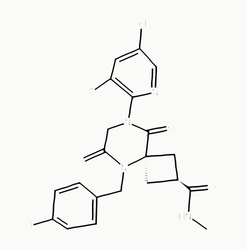 CNC(=O)[C@H]1C[C@@]2(C1)C(=O)N(c1ncc(Cl)cc1F)CC(=O)N2Cc1ccc(Cl)cc1